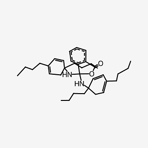 CCCCC1=CCC(CCCC)(NC2(NC3(CCCC)C=CC(CCCC)=CC3)OC(=O)c3ccccc32)C=C1